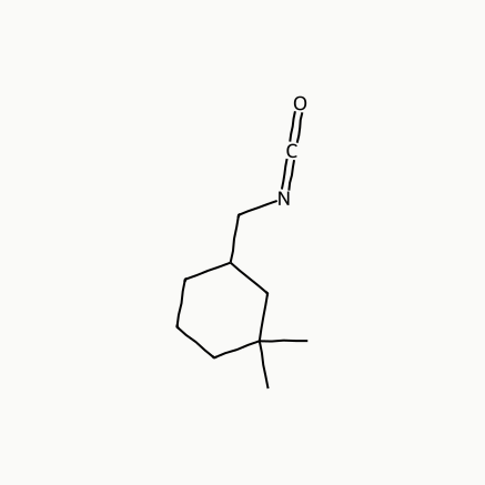 CC1(C)CCCC(CN=C=O)C1